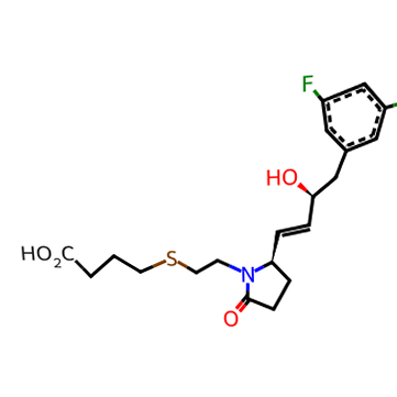 O=C(O)CCCSCCN1C(=O)CC[C@@H]1/C=C/[C@@H](O)Cc1cc(F)cc(F)c1